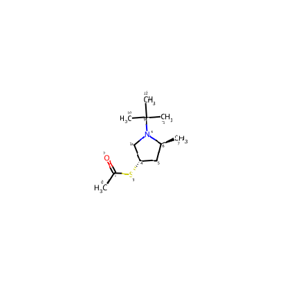 CC(=O)S[C@H]1C[C@H](C)N(C(C)(C)C)C1